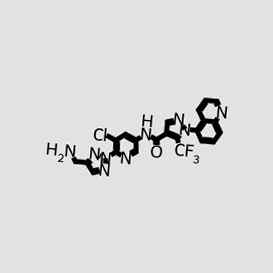 NCc1cnn(-c2ncc(NC(=O)c3cnn(-c4cccc5ncccc45)c3C(F)(F)F)cc2Cl)n1